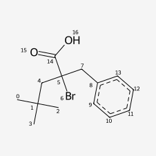 CC(C)(C)CC(Br)(Cc1ccccc1)C(=O)O